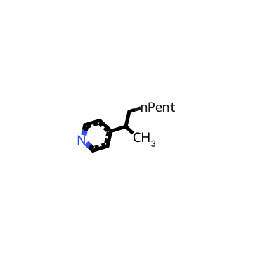 CCCCCCC(C)c1ccncc1